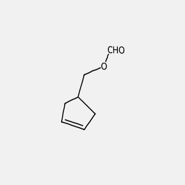 O=COCC1CC=CC1